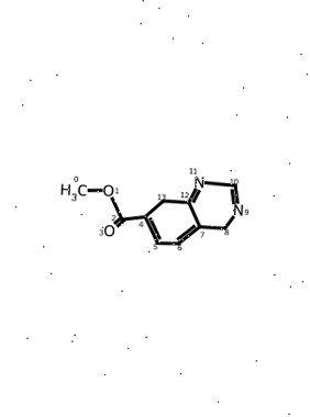 COC(=O)C1=CC=C2CN=CN=C2C1